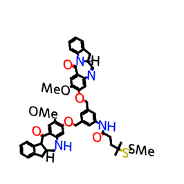 COc1cc2c(cc1OCc1cc(COc3cc4c(cc3OC)C(=O)C3c5ccccc5C[C@H]3CN4)cc(NC(=O)CCC(C)(C)SSC)c1)N=C[C@@H]1Cc3ccccc3N1C2=O